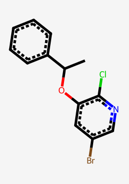 CC(Oc1cc(Br)cnc1Cl)c1ccccc1